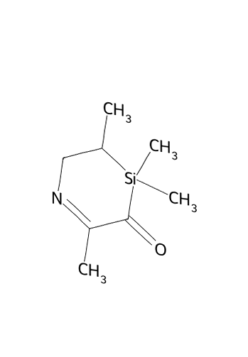 CC1=NCC(C)[Si](C)(C)C1=O